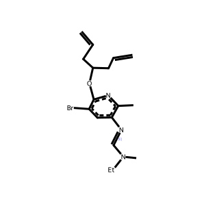 C=CCC(CC=C)Oc1nc(C)c(/N=C/N(C)CC)cc1Br